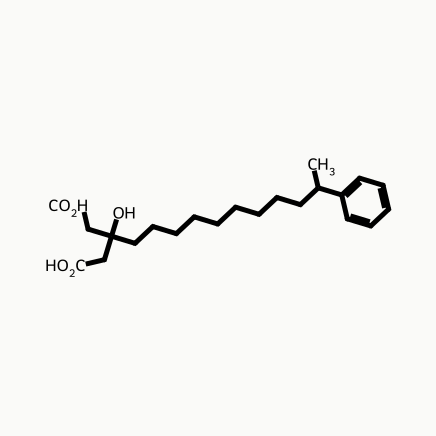 CC(CCCCCCCCCC(O)(CC(=O)O)CC(=O)O)c1ccccc1